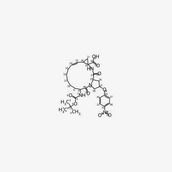 CC(C)(C)OC(=O)NC1CCCCC/C=C\C2CC2(C(=O)O)NC(=O)C2CC(Oc3ccc([N+](=O)[O-])cc3)CN2C1=O